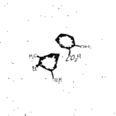 CCc1c(C)cccc1C(=O)O.O=C(O)c1ccccc1O